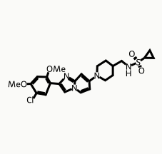 COc1cc(OC)c(-c2cn3ccc(N4CCC(CNS(=O)(=O)C5CC5)CC4)cc3n2)cc1Cl